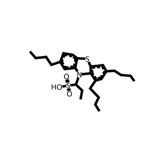 CCCCc1cc(CCCC)c2c(c1)Sc1ccc(CCCC)cc1N2C(CC)S(=O)(=O)O